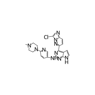 CN1CCN(c2ccc(Nc3nc(-c4ccc5ncc(Cl)n5n4)c4cc[nH]c4n3)cn2)CC1